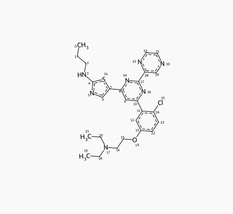 CCCNc1ncc(-c2cc(-c3cc(OCCN(CC)CC)ccc3Cl)nc(-c3cnccn3)n2)s1